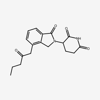 CCCC(=O)Cc1cccc2c1CN(C1CCC(=O)NC1=O)C2=O